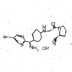 Cl.N#C[C@@H]1CCCN1C(=O)CNC1CCC(C(N)c2ncc(Br)cn2)CC1